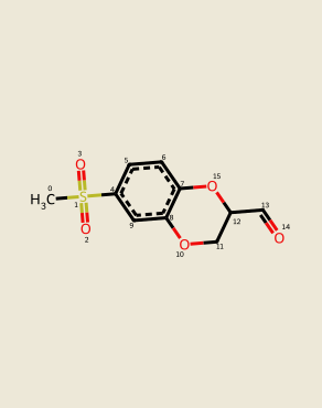 CS(=O)(=O)c1ccc2c(c1)OCC(C=O)O2